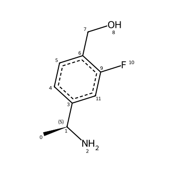 C[C@H](N)c1ccc(CO)c(F)c1